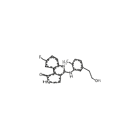 Cc1ccc(CCO)cc1Nc1nc2ccc(F)cc2c2c(=O)[nH]ccc12